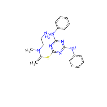 C=C(Sc1nc(Nc2ccccc2)nc(Nc2ccccc2)n1)N(C)CCN